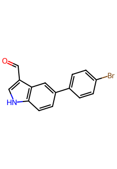 O=Cc1c[nH]c2ccc(-c3ccc(Br)cc3)cc12